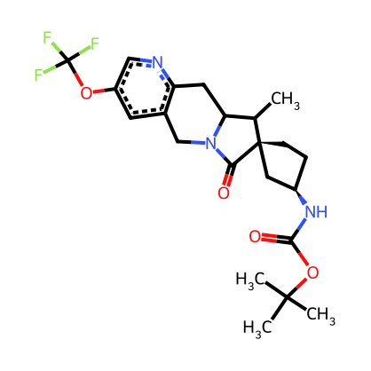 CC1C2Cc3ncc(OC(F)(F)F)cc3CN2C(=O)[C@]12CC[C@@H](NC(=O)OC(C)(C)C)C2